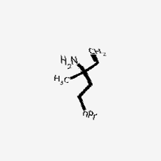 C=CC(C)(N)CCCCC